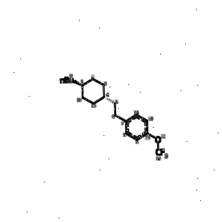 CCCC[C@H]1CC[C@H](CCc2ccc(OC(F)(F)F)cc2)CC1